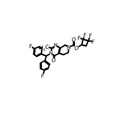 Cc1nc2c(c(=O)n1C(c1ccc(F)cc1)c1ccc(F)cc1)CCN(C(=O)OC1CC(F)(F)C1(F)F)C2